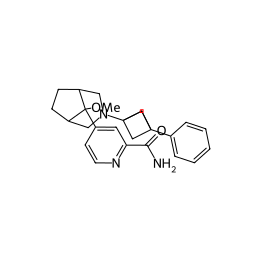 COC1(c2ccnc(C(N)=O)c2)C2CCC1CN(C13CC(c4ccccc4)(C1)C3)C2